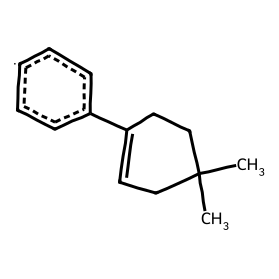 CC1(C)CC=C(c2cc[c]cc2)CC1